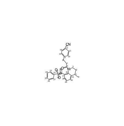 CC1CCN(C(=O)CCc2ccc(C#N)cc2)c2c(NS(=O)(=O)c3ccccc3)cccc21